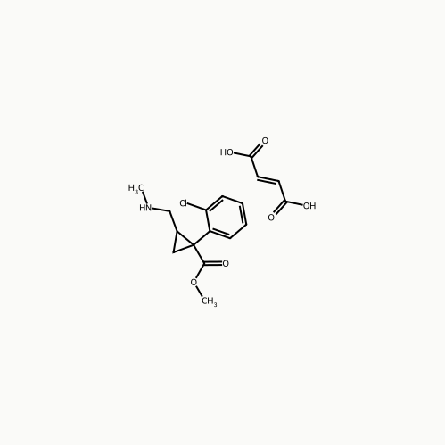 CNCC1CC1(C(=O)OC)c1ccccc1Cl.O=C(O)C=CC(=O)O